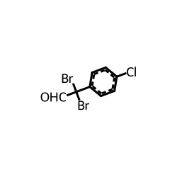 O=CC(Br)(Br)c1ccc(Cl)cc1